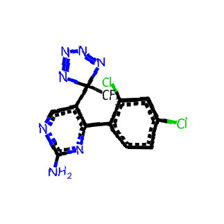 Nc1ncc(C2(C(F)(F)F)N=NN=N2)c(-c2ccc(Cl)cc2Cl)n1